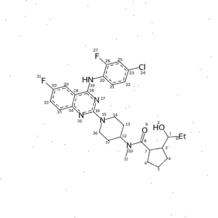 CCC(O)C1CCCC1C(=O)N(C)C1CCN(c2nc(Nc3ccc(Cl)cc3F)c3cc(F)ccc3n2)CC1